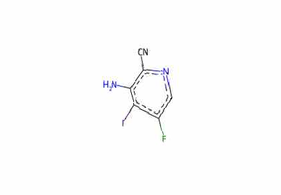 N#Cc1ncc(F)c(I)c1N